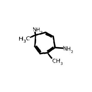 CC1=C(N)C=CC(C)(N)C=C1